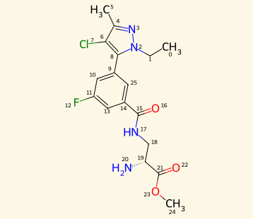 CCn1nc(C)c(Cl)c1-c1cc(F)cc(C(=O)NC[C@@H](N)C(=O)OC)c1